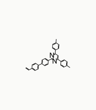 C=Cc1ccc(-c2ccc(-c3nc(-c4ccc(C)cc4)cc(-c4ccc(C)cc4)n3)cc2)cc1